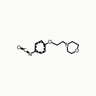 O=C=Nc1ccc(OCCN2CCOCC2)cc1